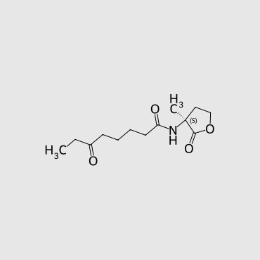 CCC(=O)CCCCC(=O)N[C@@]1(C)CCOC1=O